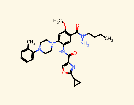 CCCCN(N)C(=O)c1cc(NC(=O)c2coc(C3CC3)n2)c(N2CCN(c3ccccc3C)CC2)cc1OC